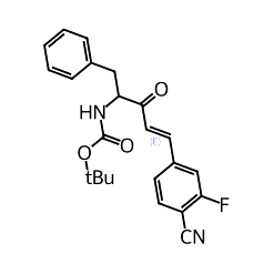 CC(C)(C)OC(=O)NC(Cc1ccccc1)C(=O)/C=C/c1ccc(C#N)c(F)c1